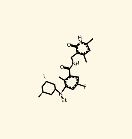 CCN(c1cc(F)cc(C(=O)NCc2c(C)cc(C)[nH]c2=O)c1C)C1C[C@@H](C)C[C@H](C)C1